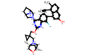 C#Cc1c(C)ccc2cc(O)cc(-c3c(C(C)C)cc4c(N5CC6CCC(C5)N6)nc(OCC5(CN6C[C@@H]7C[C@H]6CO7)CC5)nc4c3F)c12